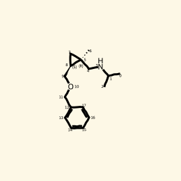 CC(C)NC[C@]1(C)C[C@@H]1COCc1ccccc1